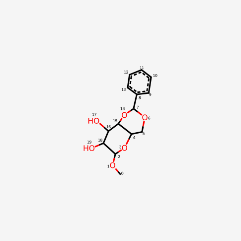 COC1OC2COC(c3ccccc3)OC2C(O)C1O